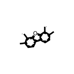 [CH2]c1c(C)ccc2c1oc1c([CH2])c(C)ccc12